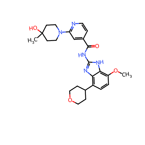 COc1ccc(C2CCOCC2)c2nc(NC(=O)c3ccnc(N4CCC(C)(O)CC4)c3)[nH]c12